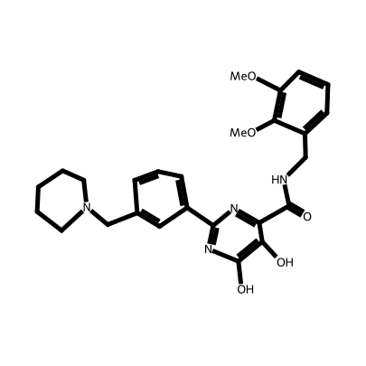 COc1cccc(CNC(=O)c2nc(-c3cccc(CN4CCCCC4)c3)nc(O)c2O)c1OC